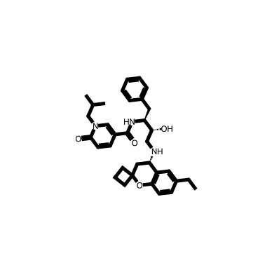 CCc1ccc2c(c1)[C@@H](NC[C@@H](O)[C@H](Cc1ccccc1)NC(=O)c1ccc(=O)n(CC(C)C)c1)CC1(CCC1)O2